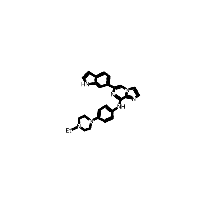 CCN1CCN(c2ccc(Nc3nc(-c4ccc5cc[nH]c5c4)cn4ccnc34)cc2)CC1